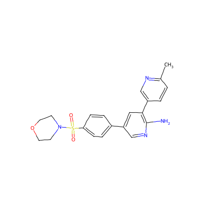 Cc1ccc(-c2cc(-c3ccc(S(=O)(=O)N4CCOCC4)cc3)cnc2N)cn1